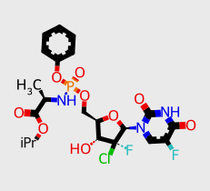 CC(C)OC(=O)[C@@H](C)N[P@](=O)(OC[C@H]1O[C@@H](n2cc(F)c(=O)[nH]c2=O)[C@@](F)(Cl)[C@@H]1O)Oc1ccccc1